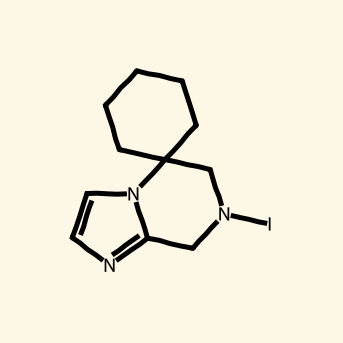 IN1Cc2nccn2C2(CCCCC2)C1